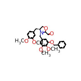 COc1ccc(C[C@H]2COC(C=O)N2Cc2cc(OC)c(OC)c(OCc3ccccc3)c2)cc1OC